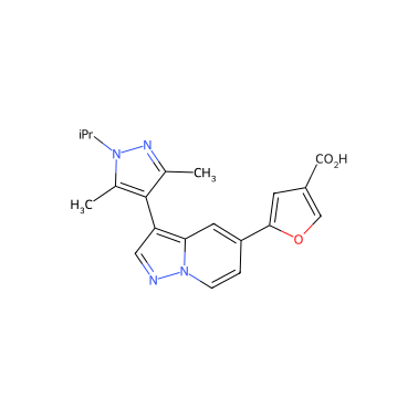 Cc1nn(C(C)C)c(C)c1-c1cnn2ccc(-c3cc(C(=O)O)co3)cc12